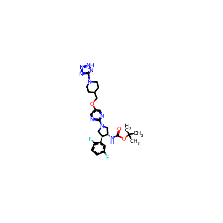 CC(C)(C)OC(=O)N[C@H]1CN(c2ncc(OCC3CCN(c4nn[nH]n4)CC3)cn2)C[C@@H]1c1cc(F)ccc1F